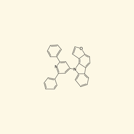 c1ccc(-c2cc(-n3c4ccccc4c4ccc5occc5c43)cc(-c3ccccc3)n2)cc1